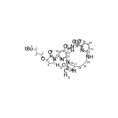 CC(C)(C)CCCO[C@H]1CCN(c2ccc3c(n2)N2C[C@@H](CCCNc4cccc(n4)S(=O)(=O)NC3=O)CC2(C)C)C1=O